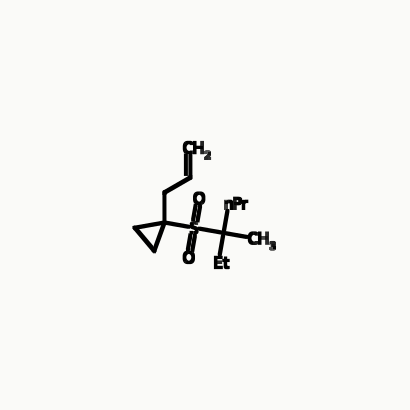 C=CCC1(S(=O)(=O)C(C)(CC)CCC)CC1